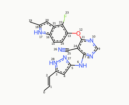 C/C=C/c1cc(Nc2ncnc(Oc3ccc4[nH]c(C)cc4c3F)c2C#N)n[nH]1